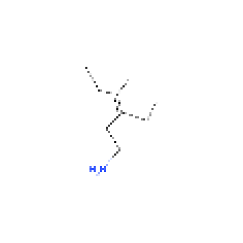 CC/C(C)=C(\CCN)C(C)C